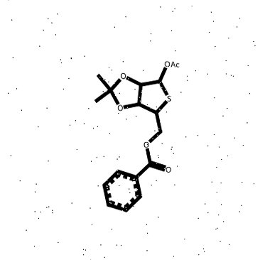 CC(=O)OC1SC(COC(=O)c2ccccc2)C2OC(C)(C)OC12